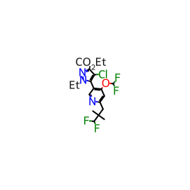 CCOC(=O)c1nn(CC)c(-c2cnc(CC(C)(C)C(F)F)cc2OC(F)F)c1Cl